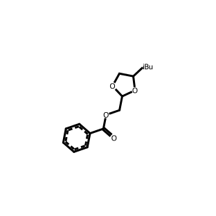 CCC(C)C1COC(COC(=O)c2ccccc2)O1